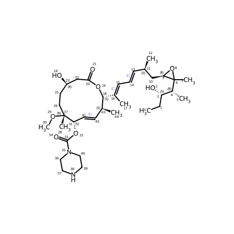 CC[C@H](O)[C@@H](C)C1(C)O[C@@H]1C[C@H](C)/C=C/C=C(\C)[C@H]1OC(=O)C[C@H](O)CC[C@@](C)(OC)[C@@H](OC(=O)N2CCNCC2)/C=C/[C@@H]1C